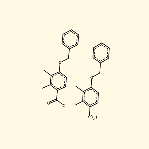 Cc1c(OCc2ccccc2)ccc(C(=O)Cl)c1C.Cc1c(OCc2ccccc2)ccc(C(=O)O)c1C